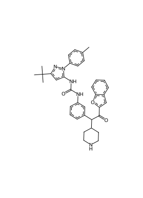 Cc1ccc(-n2nc(C(C)(C)C)cc2NC(=O)Nc2cccc(C(C(=O)c3cc4ccccc4o3)C3CCNCC3)c2)cc1